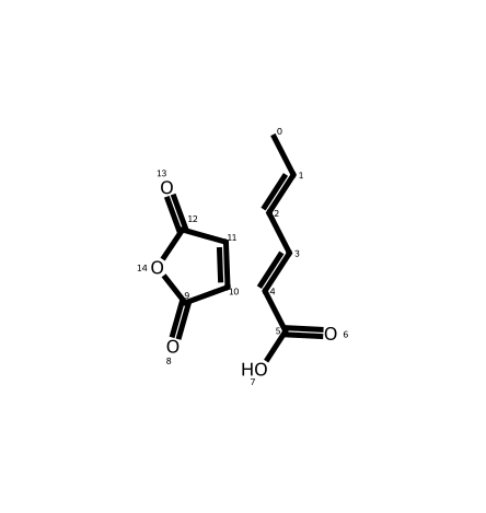 CC=CC=CC(=O)O.O=C1C=CC(=O)O1